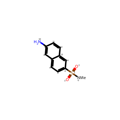 CNS(=O)(=O)c1ccc2cc(N)ccc2c1